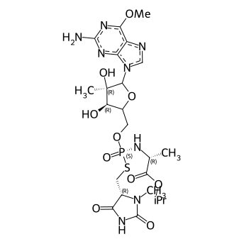 COc1nc(N)nc2c1ncn2C1OC(CO[P@@](=O)(N[C@H](C)C(=O)OC(C)C)SC[C@H]2C(=O)NC(=O)N2C)[C@@H](O)[C@@]1(C)O